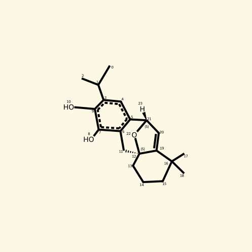 CC(C)c1cc2c(c(O)c1O)C[C@@]13CCCC(C)(C)C1=C[C@@H]2O3